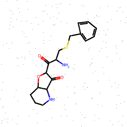 NC(CSCc1ccccc1)C(=O)C1OC2CCCNC2C1=O